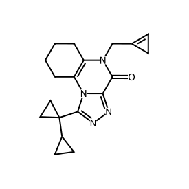 O=c1c2nnc(C3(C4CC4)CC3)n2c2c(n1CC1=CC1)CCCC2